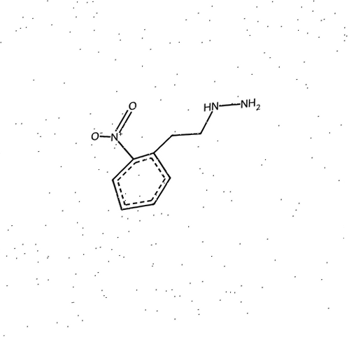 NNCCc1ccccc1[N+](=O)[O-]